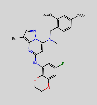 CCC(C)c1cnn2c(N(C)Cc3ccc(OC)cc3OC)cc(Nc3cc(F)cc4c3OCCO4)nc12